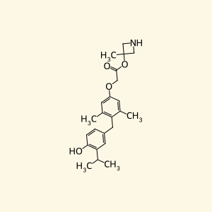 Cc1cc(OCC(=O)OC2(C)CNC2)cc(C)c1Cc1ccc(O)c(C(C)C)c1